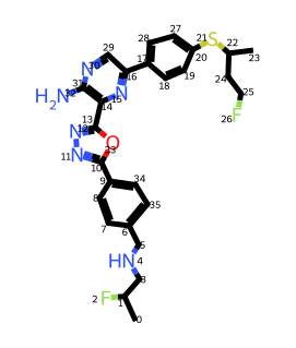 CC(F)CNCc1ccc(-c2nnc(-c3nc(-c4ccc(SC(C)CCF)cc4)cnc3N)o2)cc1